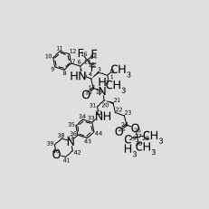 CC(C)C[C@H](N[C@@H](c1ccccc1)C(F)(F)F)C(=O)N[C@@H](CCCC(=O)OC(C)(C)C)CNc1ccc(N2CCOCC2)cc1